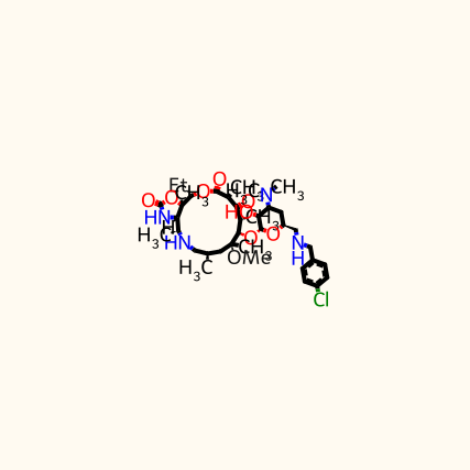 CC[C@@H]1OC(=O)C(C)C(=O)[C@H](C)[C@@H](O[C@@H]2O[C@H](CNCc3ccc(Cl)cc3)CC(N(C)C)C2O)[C@](C)(OC)C[C@@H](C)CN[C@H](C)[C@H]2NC(=O)O[C@]12C